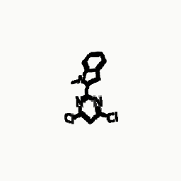 Cn1c(-c2nc(Cl)cc(Cl)n2)cc2ccccc21